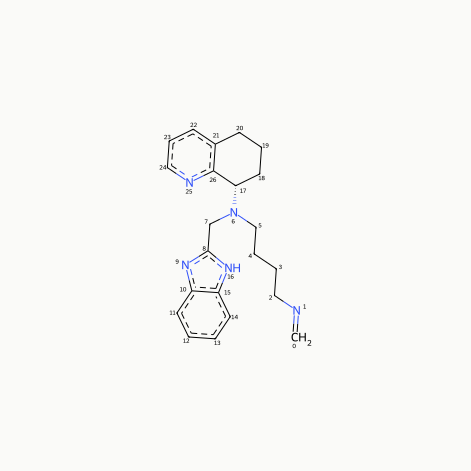 C=NCCCCN(Cc1nc2ccccc2[nH]1)[C@H]1CCCc2cccnc21